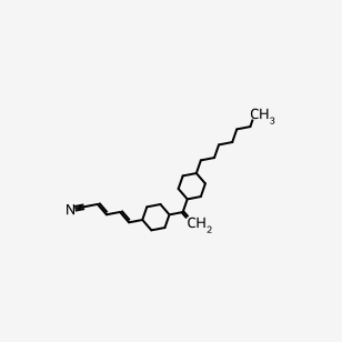 C=C(C1CCC(C=CC=CC#N)CC1)C1CCC(CCCCCCC)CC1